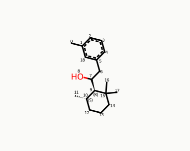 Cc1cccc(CC(O)[C@@H]2[C@@H](C)CCCC2(C)C)c1